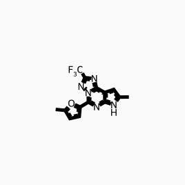 Cc1cc2c(nc(-c3ccc(C)o3)n3nc(C(F)(F)F)nc23)[nH]1